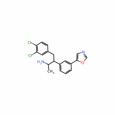 CC(N)C(Cc1ccc(Cl)c(Cl)c1)c1cccc(-c2cnco2)c1